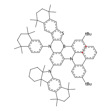 CC(C)(C)c1ccc2c(c1)B1c3sc4cc5c(cc4c3N(c3ccc4c(c3)C(C)(C)CCC4(C)C)c3cc(N4c6cc7c(cc6C6(C)CCCCC46C)C(C)(C)CCC7(C)C)cc(c31)N2c1ccc(C(C)(C)C)cc1-c1ccccc1)C(C)(C)CCC5(C)C